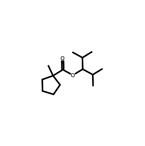 CC(C)C(OC(=O)C1(C)CCCC1)C(C)C